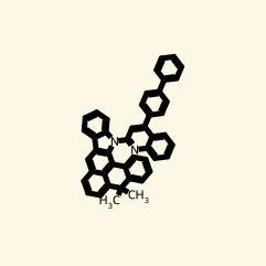 CC1(C)c2ccccc2-c2c3c1cccc3cc1c3ccccc3n(-c3cc(-c4ccc(-c5ccccc5)cc4)c4ccccc4n3)c21